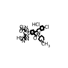 CN1CCCC(n2nc(Cc3ccc(Cl)cc3)c3ccccc3c2=O)CC1.Cl.Cn1cnc([N+](=O)[O-])c1Sc1ncnc2nc[nH]c12